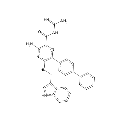 N=C(N)NC(=O)c1nc(-c2ccc(-c3ccccc3)cc2)c(NCc2c[nH]c3ccccc23)nc1N